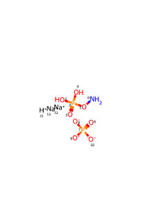 NOP(=O)(O)O.O=P([O-])([O-])[O-].[H+].[Na+].[Na+]